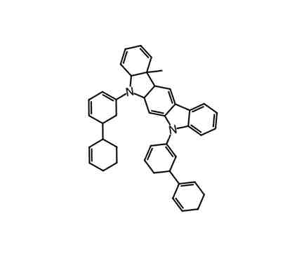 CC12C=CC=CC1N(C1=CC=CC(C3C=CCCC3)C1)C1C=c3c(c4ccccc4n3C3=CC(C4=CCCC=C4)CC=C3)=CC12